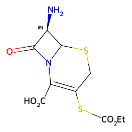 CCOC(=O)SC1=C(C(=O)O)N2C(=O)[C@@H](N)C2SC1